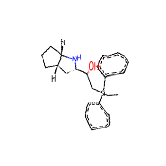 C[Si](C[C@@H](O)[C@@H]1C[C@@H]2CCC[C@@H]2N1)(c1ccccc1)c1ccccc1